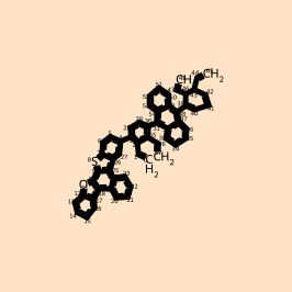 C=Cc1c(-c2ccc3sc4c5oc6ccccc6c5c5ccccc5c4c3c2)ccc(-c2c3ccccc3c(C3=CC=CC(C=C)C3C=C)c3ccccc23)c1C=C